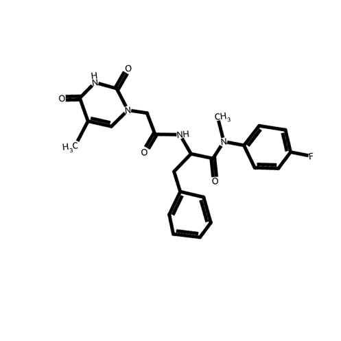 Cc1cn(CC(=O)NC(Cc2ccccc2)C(=O)N(C)c2ccc(F)cc2)c(=O)[nH]c1=O